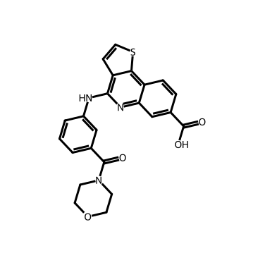 O=C(O)c1ccc2c(c1)nc(Nc1cccc(C(=O)N3CCOCC3)c1)c1ccsc12